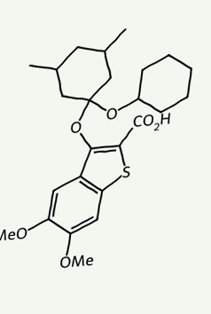 COc1cc2sc(C(=O)O)c(OC3(OC4CCCCC4)CC(C)CC(C)C3)c2cc1OC